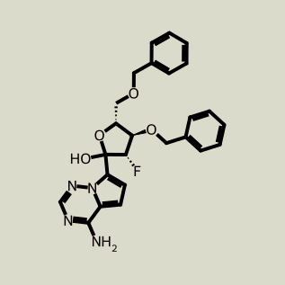 Nc1ncnn2c(C3(O)O[C@H](COCc4ccccc4)[C@@H](OCc4ccccc4)[C@@H]3F)ccc12